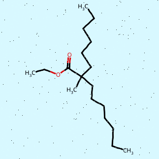 CCCCCCCC(C)(CCCCCC)C(=O)OCC